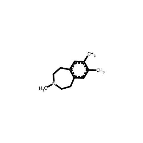 Cc1cc2c(cc1C)CCN(C)CC2